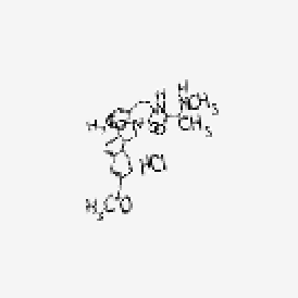 CNC(C)C(=O)NC1CCc2ccccc2N(Cc2c(OC)ccc3cc(C(C)=O)ccc23)C1=O.Cl